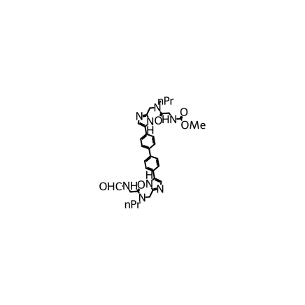 CCCN(Cc1ncc(-c2ccc(-c3ccc(-c4cnc(CN(CCC)C(=O)CNC(=O)OC)[nH]4)cc3)cc2)[nH]1)C(=O)CNC=O